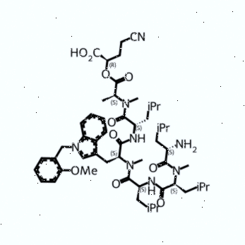 COc1ccccc1Cn1cc(C[C@@H](C(=O)N[C@@H](CC(C)C)C(=O)N(C)[C@@H](C)C(=O)O[C@H](CCC#N)C(=O)O)N(C)C(=O)[C@H](CC(C)C)NC(=O)[C@H](CC(C)C)N(C)C(=O)[C@@H](N)CC(C)C)c2ccccc21